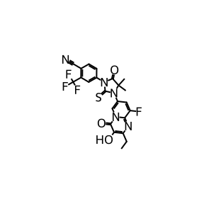 CCc1nc2c(F)cc(N3C(=S)N(c4ccc(C#N)c(C(F)(F)F)c4)C(=O)C3(C)C)cn2c(=O)c1O